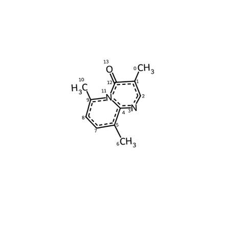 Cc1cnc2c(C)ccc(C)n2c1=O